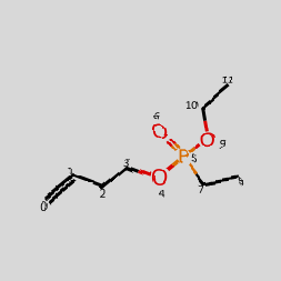 C=CCCOP(=O)(CC)OCC